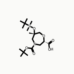 CC(C)(C)OC(=O)N1C[C@@H](C(=O)O)OC[C@@](C)(O[Si](C)(C)C(C)(C)C)C1